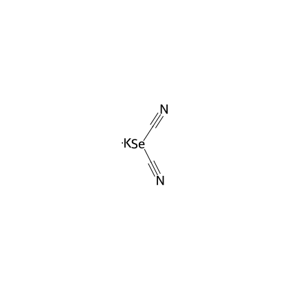 N#C[Se]C#N.[K]